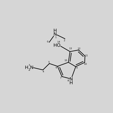 CNC.NCCc1c[nH]c2cccc(O)c12